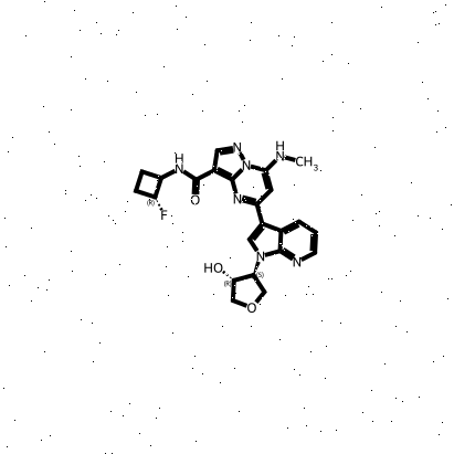 CNc1cc(-c2cn([C@H]3COC[C@@H]3O)c3ncccc23)nc2c(C(=O)NC3CC[C@H]3F)cnn12